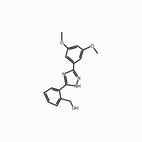 COc1cc(OC)cc(-c2n[nH]c(-c3ccccc3CO)n2)c1